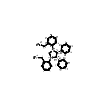 CC(C)Cc1ccccc1N1CN(c2ccccc2CC(C)C)[C@@H](c2ccccc2)[C@@H]1c1ccccc1